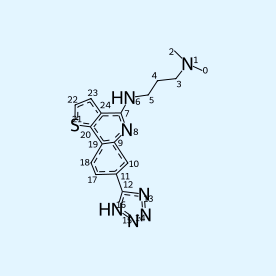 CN(C)CCCNc1nc2cc(-c3nnn[nH]3)ccc2c2sccc12